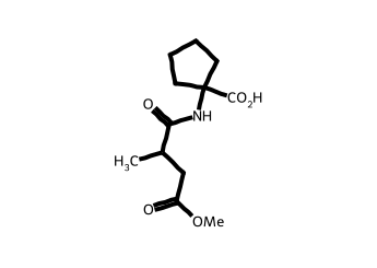 COC(=O)CC(C)C(=O)NC1(C(=O)O)CCCC1